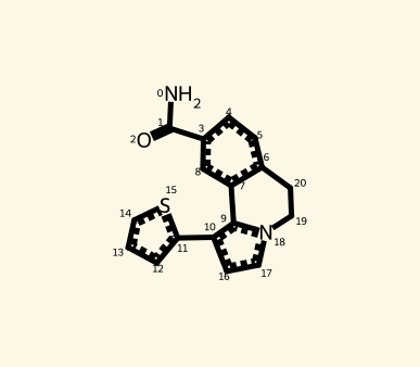 NC(=O)c1ccc2c(c1)-c1c(-c3cccs3)ccn1CC2